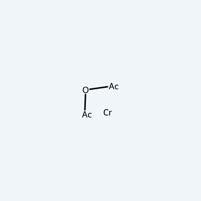 CC(=O)OC(C)=O.[Cr]